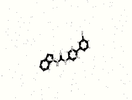 O=C(Nn1ccc2ccccc21)Oc1cnc(-c2cccc(F)c2)nc1